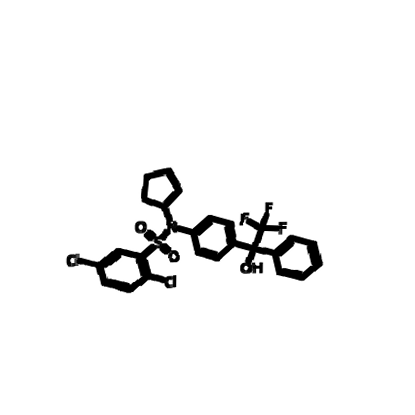 O=S(=O)(c1cc(Cl)ccc1Cl)N(c1ccc(C(O)(c2ccccc2)C(F)(F)F)cc1)C1CCCC1